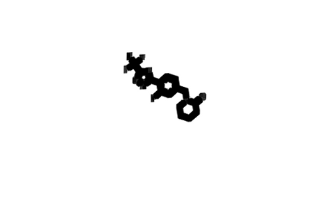 O=C1CCCCN1Cc1ccc(-c2noc(C(F)(F)F)n2)c(F)c1